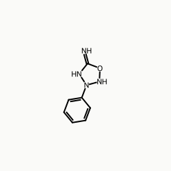 N=C1NN(c2ccccc2)NO1